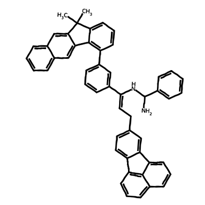 CC1(C)c2cc3ccccc3cc2-c2c(-c3cccc(/C(=C/Cc4ccc5c(c4)-c4cccc6cccc-5c46)NC(N)c4ccccc4)c3)cccc21